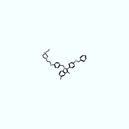 Cc1ccc2c(c1)c(C)c(-c1ccc(OCc3ccccc3)cc1)n2Cc1ccc(OCCN2CC[C@@H](CF)C2)cc1